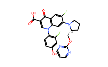 O=C(O)c1cn(-c2ccc(O)cc2F)c2cc(N3CCC[C@@H]3COc3ncccn3)c(F)cc2c1=O